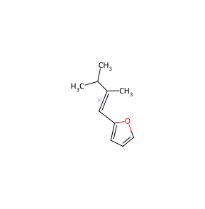 C/C(=C\c1ccco1)C(C)C